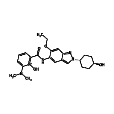 CCOc1cc2nn([C@H]3CC[C@H](O)CC3)cc2cc1NC(=O)c1cccc(N(C)C)[n+]1O